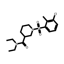 CCN(CC)C(=O)C1CCCN(S(=O)(=O)c2cccc(Cl)c2C)C1